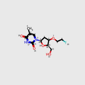 Cc1cn([C@H]2CC(OCCF)[C@@H](CO)O2)c(=O)[nH]c1=O